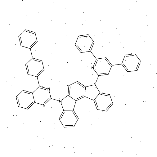 c1ccc(-c2ccc(-c3nc(-n4c5ccccc5c5c6c7ccccc7n(-c7cc(-c8ccccc8)cc(-c8ccccc8)n7)c6ccc54)nc4ccccc34)cc2)cc1